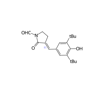 CC(C)(C)c1cc(/C=C2\CCN(C=O)C2=O)cc(C(C)(C)C)c1O